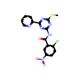 CSc1nc(NC(=O)c2cc([N+](=O)[O-])ccc2Cl)nc(-c2ccccn2)n1